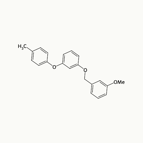 COc1cccc(COc2cccc(Oc3ccc(C)cc3)c2)c1